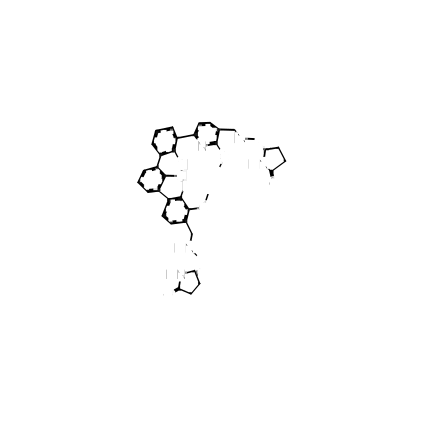 COc1nc(-c2cccc(-c3cccc(-c4ccc(CNC[C@@H]5CCC(=O)N5)c(OC)c4F)c3Cl)c2Cl)ccc1CNC[C@@H]1CCC(=O)N1